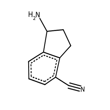 N#Cc1cccc2c1CCC2N